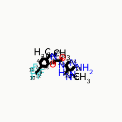 C[C@@H](c1ccc(C(F)(F)C(F)(F)F)cc1)N(C)C(=O)C(=O)Nc1cnc(N)c2c1cnn2C